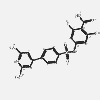 Cc1cc(-c2ccc(S(=O)(=O)Nc3cc(F)c(C(=O)O)c(F)c3)cc2)cc(C)n1